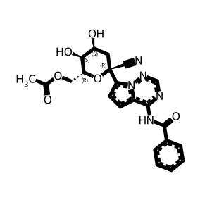 CC(=O)OC[C@H]1O[C@@](C#N)(c2ccc3c(NC(=O)c4ccccc4)ncnn23)C[C@H](O)[C@@H]1O